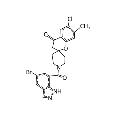 Cc1cc2c(cc1Cl)C(=O)CC1(CCN(C(=O)c3cc(Br)cc4cn[nH]c34)CC1)O2